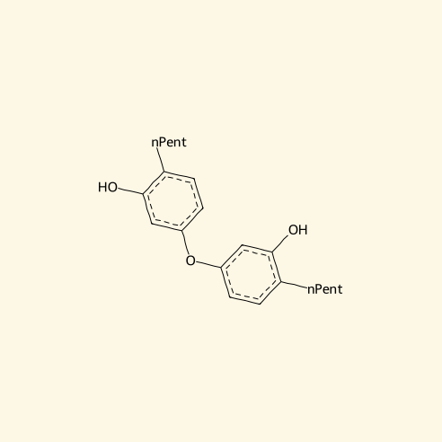 CCCCCc1ccc(Oc2ccc(CCCCC)c(O)c2)cc1O